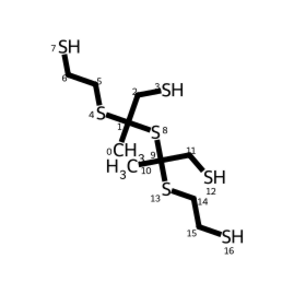 CC(CS)(SCCS)SC(C)(CS)SCCS